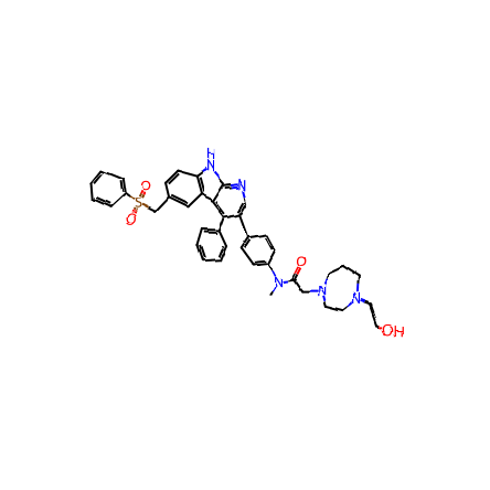 CN(C(=O)CN1CCCN(CCO)CC1)c1ccc(-c2cnc3[nH]c4ccc(CS(=O)(=O)c5ccccc5)cc4c3c2-c2ccccc2)cc1